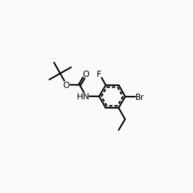 CCc1cc(NC(=O)OC(C)(C)C)c(F)cc1Br